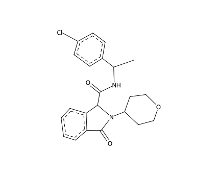 CC(NC(=O)C1c2ccccc2C(=O)N1C1CCOCC1)c1ccc(Cl)cc1